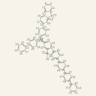 CC1(C)c2ccccc2-c2ccc(-c3ccc(N(c4ccc(-c5ccccc5)cc4)c4ccc5c(c4)C(C)(C)c4cc(-c6ccc(-c7ccc(-c8ccccc8)cc7)cc6)ccc4-5)cc3)cc21